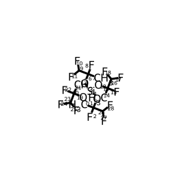 CC(F)(O[Si](OC(C)(F)C(F)F)(OC(C)(F)C(F)F)OC(C)(F)C(F)F)C(F)F